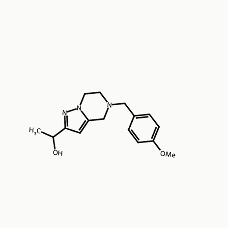 COc1ccc(CN2CCn3nc(C(C)O)cc3C2)cc1